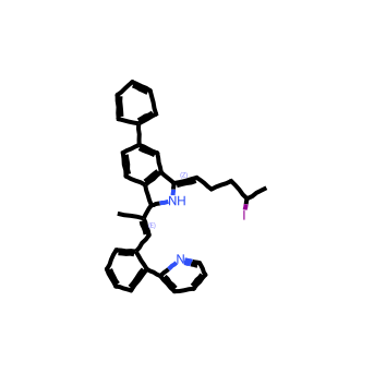 C/C(=C\c1ccccc1-c1ccccn1)C1N/C(=C\CCC(C)I)c2cc(-c3ccccc3)ccc21